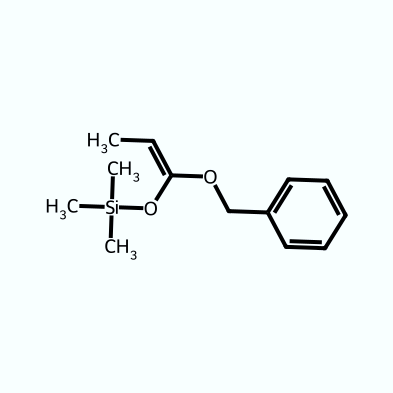 CC=C(OCc1ccccc1)O[Si](C)(C)C